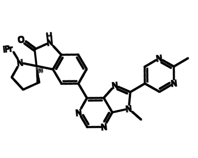 Cc1ncc(-c2nc3c(-c4ccc5c(c4)[C@@]4(CCCN4C(C)C)C(=O)N5)ncnc3n2C)cn1